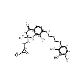 CCCc1c(OCCCOc2ccc3c(c2CCC)OC(C)(CCC2OC2C)CC3=O)ccc(C(C)=O)c1O